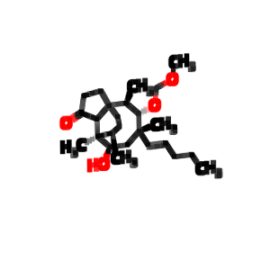 CCCC=C[C@]1(C)C[C@@H](O)[C@@]2(C)C3C(=O)CCC3(CC[C@H]2C)[C@@H](C)[C@@H]1OCOC